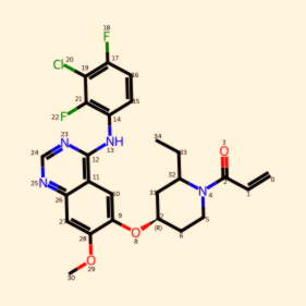 C=CC(=O)N1CC[C@@H](Oc2cc3c(Nc4ccc(F)c(Cl)c4F)ncnc3cc2OC)CC1CC